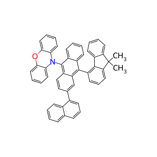 CC1(C)c2ccccc2-c2c(-c3c4ccccc4c(N4c5ccccc5Oc5ccccc54)c4ccc(-c5cccc6ccccc56)cc34)cccc21